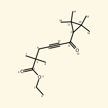 CCOC(=O)C(C)(C)CC#CC(=O)C1C(C)(C)C1(C)C